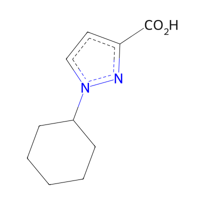 O=C(O)c1ccn(C2CCCCC2)n1